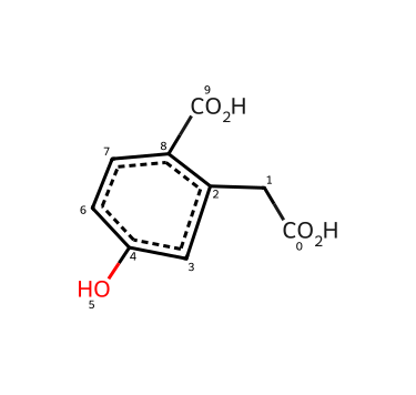 O=C(O)Cc1cc(O)ccc1C(=O)O